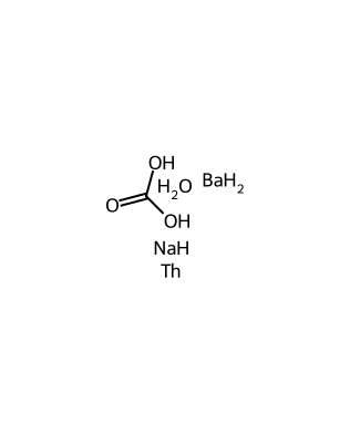 O.O=C(O)O.[BaH2].[NaH].[Th]